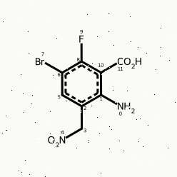 Nc1c(C[N+](=O)[O-])cc(Br)c(F)c1C(=O)O